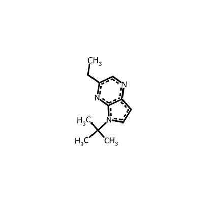 CCc1cnc2ccn(C(C)(C)C)c2n1